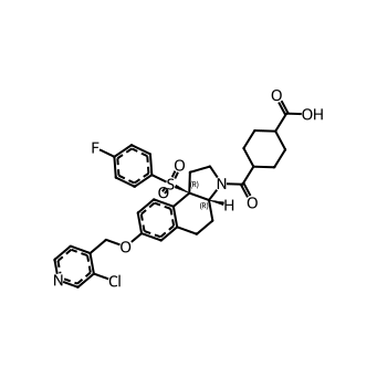 O=C(O)C1CCC(C(=O)N2CC[C@@]3(S(=O)(=O)c4ccc(F)cc4)c4ccc(OCc5ccncc5Cl)cc4CC[C@@H]23)CC1